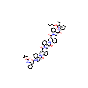 CCCCOC(=O)[C@@H](CC)[C@@H]1CCCC[C@@H]1NC(=O)[C@@H](CC)[C@@H]1CCCC[C@@H]1NC(=O)[C@@H](CC)[C@@H]1CCCC[C@@H]1NC(=O)[C@@H](CC)[C@@H]1CCCC[C@@H]1NC(=O)[C@@H](CC)[C@@H]1CCCC[C@@H]1NC(=O)[C@@H](CC)[C@@H]1CCCC[C@@H]1NC(=O)CC1(CNC(=O)OC(C)(C)C)CCCCC1